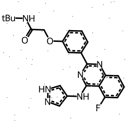 CC(C)(C)NC(=O)COc1cccc(-c2nc(Nc3cn[nH]c3)c3c(F)cccc3n2)c1